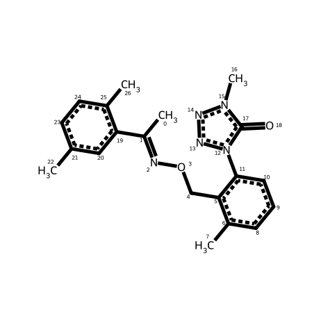 CC(=NOCc1c(C)cccc1-n1nnn(C)c1=O)c1cc(C)ccc1C